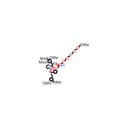 CC[C@H](C(=O)N1CCCC[C@H]1C(=O)O[C@H](CCc1ccc(OC)c(OC)c1)c1cccc(OCC(=O)NCCOCCOCCOCCOCCOCCOC)c1)c1cc(OC)c(OC)c(OC)c1